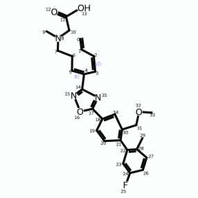 C=C/C=C\C(=C/CCN(C)CC(=O)O)c1noc(-c2ccc(-c3cc(F)ccc3C)c(COC)c2)n1